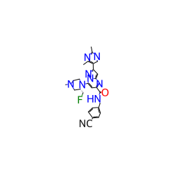 Cc1ncc(-c2cc3nc(C(=O)NCc4ccc(C#N)cc4)cc(N4CCN(C)C[C@H]4CF)n3n2)c(C)n1